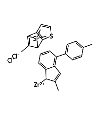 CC1=C2c3ccsc3C1[Si]2(C)C.CC1=Cc2c(-c3ccc(C)cc3)cccc2[CH]1[Zr+2].[Cl-].[Cl-]